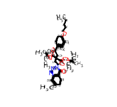 CCCCCOc1ccc(C(=O)CC(CCn2nnc3cc(C)ccc3c2=O)(C(=O)OC(C)(C)C)C(=O)OC(C)(C)C)cc1